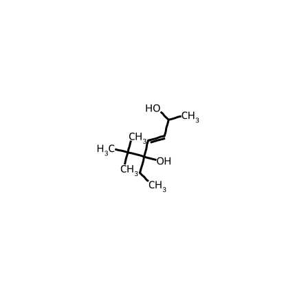 CCC(O)(C=CC(C)O)C(C)(C)C